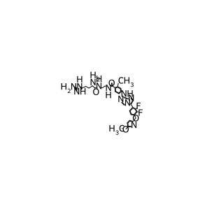 CCc1cc(Nc2nccn3c(-c4ccc(Oc5ccc(OC)cn5)c(F)c4F)cnc23)ccc1C(=O)NCCNC(=O)C(N)CCCNC(=N)N